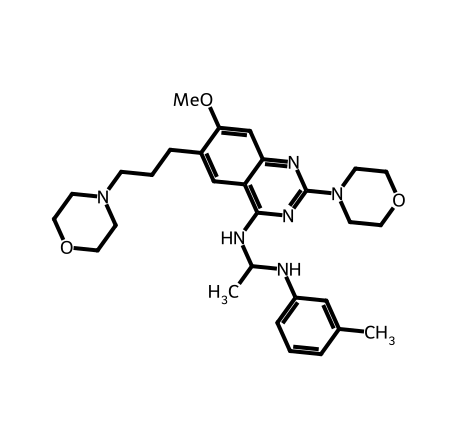 COc1cc2nc(N3CCOCC3)nc(NC(C)Nc3cccc(C)c3)c2cc1CCCN1CCOCC1